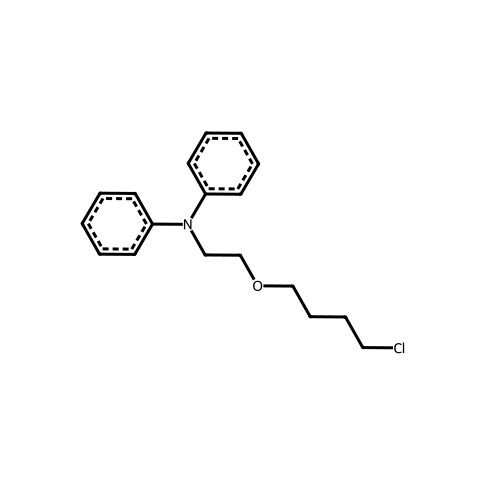 ClCCCCOCCN(c1ccccc1)c1ccccc1